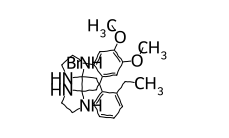 CCc1ccccc1CC1(C2(Cc3cc(OC)c(OC)cc3Br)NCCN2)NCCN1